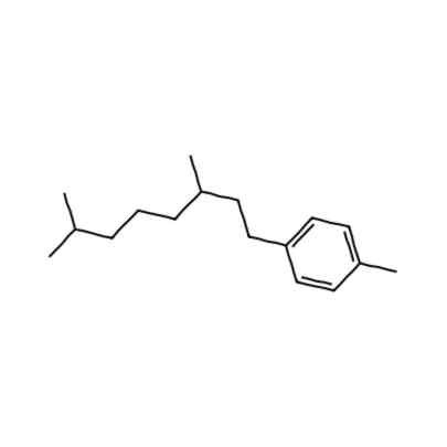 Cc1ccc(CCC(C)CCCC(C)C)cc1